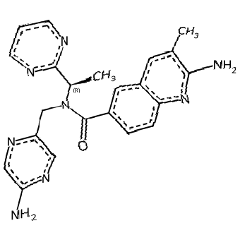 Cc1cc2cc(C(=O)N(Cc3cnc(N)cn3)[C@H](C)c3ncccn3)ccc2nc1N